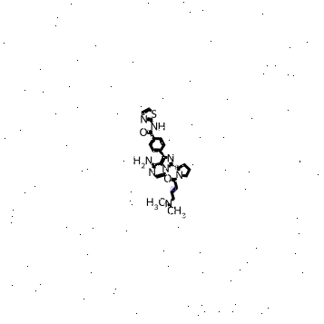 CN(C)C/C=C/C(=O)N1CCC[C@H]1c1nc(-c2ccc(C(=O)Nc3nccs3)cc2)c2c(N)nccn12